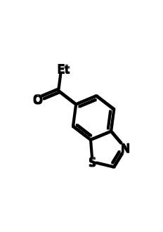 CCC(=O)c1ccc2ncsc2c1